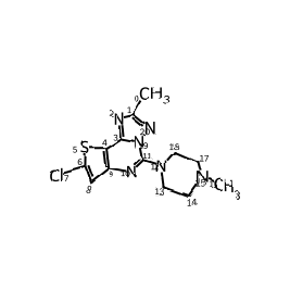 Cc1nc2c3sc(Cl)cc3nc(N3CCN(C)CC3)n2n1